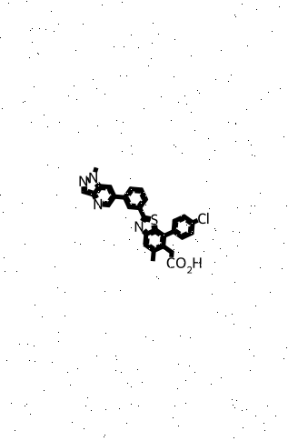 Cc1cc2nc(-c3cccc(-c4cnc5cnn(C)c5c4)c3)sc2c(-c2ccc(Cl)cc2)c1CC(=O)O